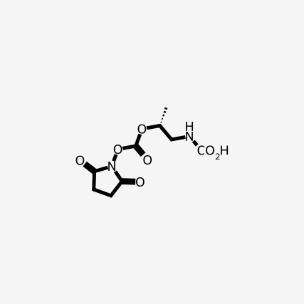 C[C@H](CNC(=O)O)OC(=O)ON1C(=O)CCC1=O